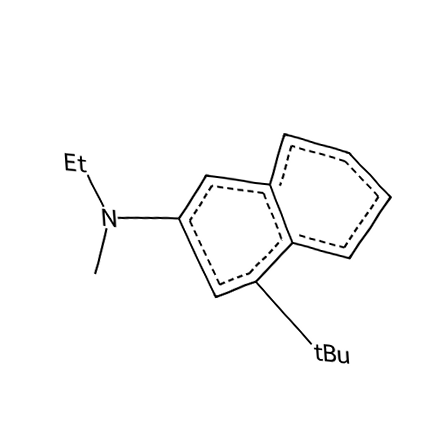 CCN(C)c1cc(C(C)(C)C)c2ccccc2c1